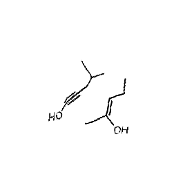 CC(C)C#CO.CCC=C(C)O